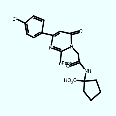 CCCCCc1nc(-c2ccc(Cl)cc2)cc(=O)n1CC(=O)NC1(C(=O)O)CCCC1